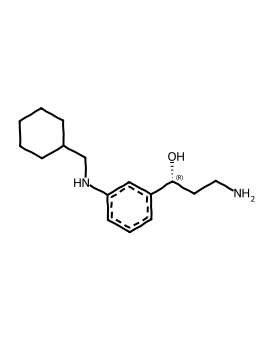 NCC[C@@H](O)c1cccc(NCC2CCCCC2)c1